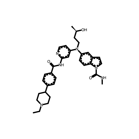 CCN1CCC(c2ccc(C(=O)Nc3cc(N(CC[C@@H](C)O)c4ccc5c(ccn5C(=O)NC)c4)ccn3)cc2)CC1